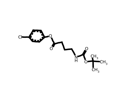 CC(C)(C)OC(=O)NCCCC(=O)Oc1ccc(Cl)cc1